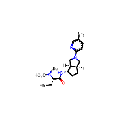 CC(C)(C)C[C@@H](C(=O)N[C@H]1CC[C@@H]2CN(c3ccc(C(F)(F)F)cn3)C[C@@H]21)N(C(=O)O)C(C)(C)C